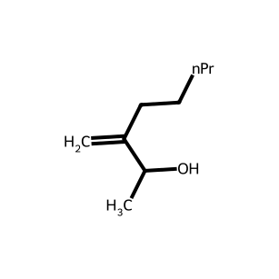 C=C(CCCCC)C(C)O